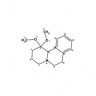 COC1(OC)CCCN2CCc3ccccc3C21